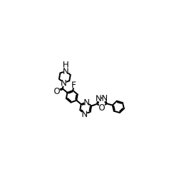 O=C(c1ccc(-c2cncc(-c3nnc(-c4ccccc4)o3)n2)cc1F)N1CCNCC1